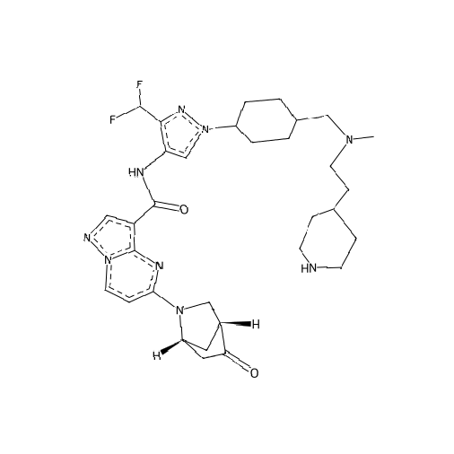 CN(CCC1CCNCC1)CC1CCC(n2cc(NC(=O)c3cnn4ccc(N5C[C@H]6C[C@@H]5CC6=O)nc34)c(C(F)F)n2)CC1